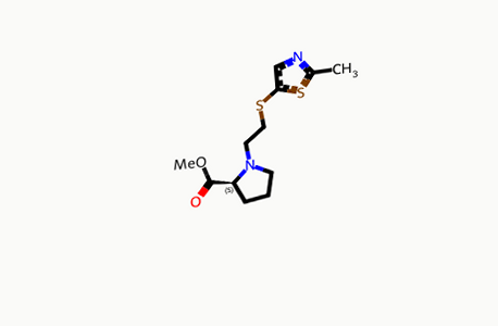 COC(=O)[C@@H]1CCCN1CCSc1cnc(C)s1